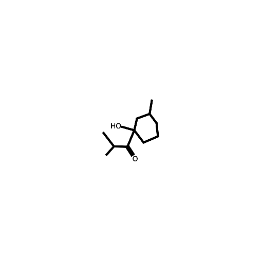 CC1CCCC(O)(C(=O)C(C)C)C1